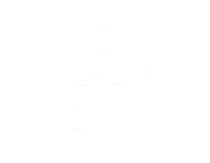 CC(C)(C)c1ccc(-c2ccc3cc4ccccc4cc3c2-c2ccc(C(C)(C)C)cc2)cc1